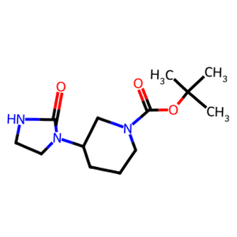 CC(C)(C)OC(=O)N1CCCC(N2CCNC2=O)C1